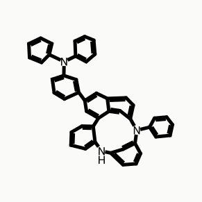 c1ccc(N(c2ccccc2)c2cccc(-c3cc4ccc5cc4c(c3)c3ccccc3[nH]c3cccc(c3)n5-c3ccccc3)c2)cc1